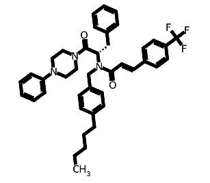 CCCCCc1ccc(CN(C(=O)/C=C/c2ccc(C(F)(F)F)cc2)[C@@H](Cc2ccccc2)C(=O)N2CCN(c3ccccc3)CC2)cc1